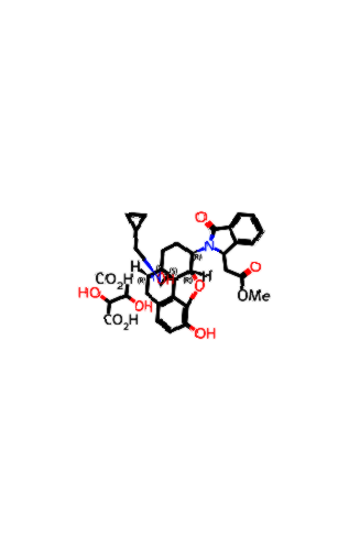 COC(=O)CC1c2ccccc2C(=O)N1[C@@H]1CC[C@@]2(O)[C@H]3Cc4ccc(O)c5c4[C@@]2(CCN3CC2CC2)[C@H]1O5.O=C(O)C(O)C(O)C(=O)O